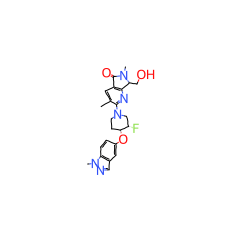 Cc1cc2c(nc1N1CC[C@@H](Oc3ccc4c(cnn4C)c3)[C@@H](F)C1)C(CO)N(C)C2=O